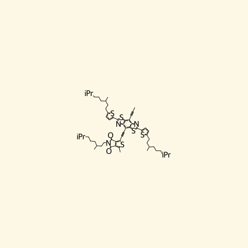 CC#Cc1c2nc(-c3ccc(CCC(C)CCCC(C)C)s3)sc2c(C#Cc2sc(C)c3c2C(=O)N(CCC(C)CCCC(C)C)C3=O)c2nc(-c3ccc(CCC(C)CCCC(C)C)s3)sc12